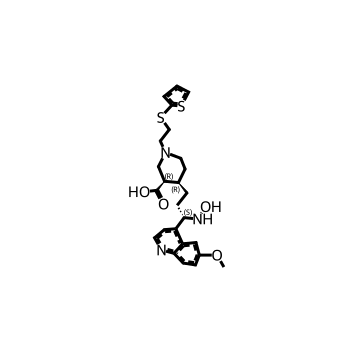 COc1ccc2nccc([C@H](CC[C@@H]3CCN(CCSc4cccs4)C[C@@H]3C(=O)O)NO)c2c1